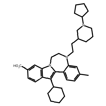 Cc1ccc2c(c1)N(CCC1CCCN(C3CCCC3)C1)CCn1c-2c(C2CCCCC2)c2ccc(C(=O)O)cc21